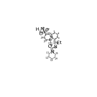 CCC1(c2ccccc2)N=C(N2CCCCC2)OC1c1ccc(S(N)(=O)=O)cc1